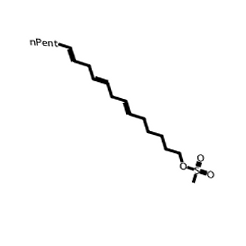 CCCCCC=CCC=CCC=CCCCCCOS(C)(=O)=O